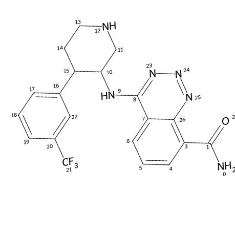 NC(=O)c1cccc2c(NC3CNCCC3c3cccc(C(F)(F)F)c3)nnnc12